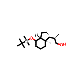 C[C@H](CO)[C@H]1CC[C@H]2C(O[Si](C)(C)C(C)(C)C)CCC[C@]12C